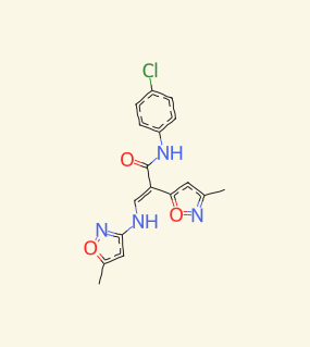 Cc1cc(C(=CNc2cc(C)on2)C(=O)Nc2ccc(Cl)cc2)on1